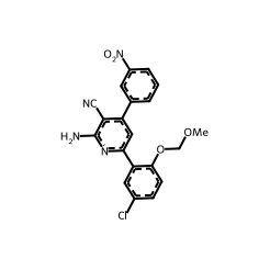 COCOc1ccc(Cl)cc1-c1cc(-c2cccc([N+](=O)[O-])c2)c(C#N)c(N)n1